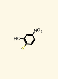 N#Cc1cc([N+](=O)[O-])ccc1[S]